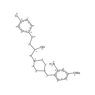 COc1ccc(CC2CCN(CC(O)COc3ccc(Cl)cc3)CC2)c(N)c1